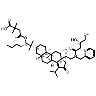 CCCC[C@H](OC(=O)CC(C)(C)C(=O)O)C(C)(C)[C@@H]1CC[C@]2(C)[C@H](CC[C@@H]3C4=C(C(C)C)C(=O)C[C@]4([C@@H](O)CN(Cc4ccccn4)C(=O)C[C@H](O)CO)CC[C@]32C)C1